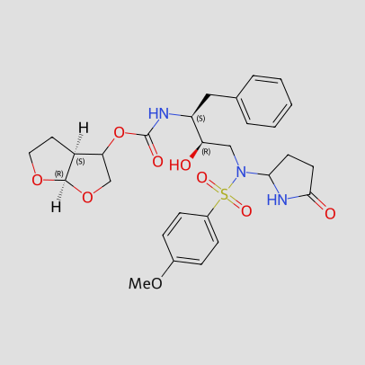 COc1ccc(S(=O)(=O)N(C[C@@H](O)[C@H](Cc2ccccc2)NC(=O)OC2CO[C@H]3OCC[C@@H]23)C2CCC(=O)N2)cc1